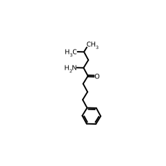 CC(C)CC(N)C(=O)CCCc1ccccc1